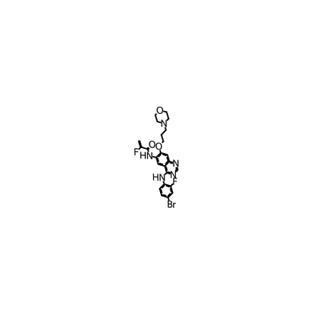 C=C(F)C(=O)Nc1cc2c(Nc3ccc(Br)cc3F)ncnc2cc1OCCCN1CCOCC1